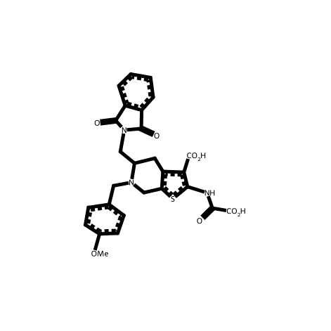 COc1ccc(CN2Cc3sc(NC(=O)C(=O)O)c(C(=O)O)c3CC2CN2C(=O)c3ccccc3C2=O)cc1